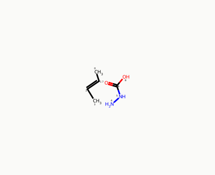 CC=CC.NNC(=O)O